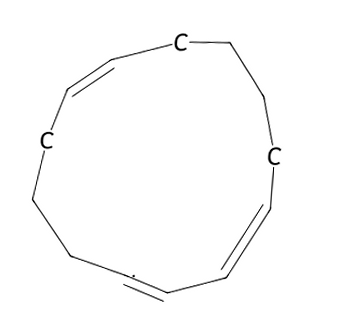 [C]1=CC=CCCCCC=CCCC1